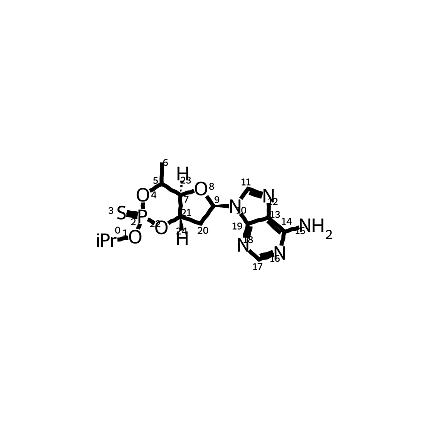 CC(C)OP1(=S)OC(C)[C@H]2O[C@@H](n3cnc4c(N)ncnc43)C[C@@H]2O1